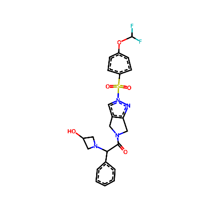 O=C(C(c1ccccc1)N1CC(O)C1)N1Cc2cn(S(=O)(=O)c3ccc(OC(F)F)cc3)nc2C1